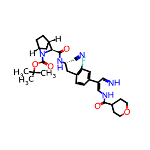 CC(C)(C)OC(=O)N1[C@@H]2CC[C@@H](C2)[C@H]1C(=O)N[C@H](C#N)Cc1ccc(/C(C=N)=C/NC(=O)C2CCOCC2)cc1F